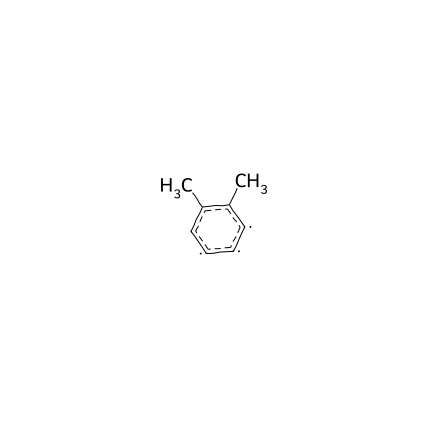 Cc1[c][c][c]cc1C